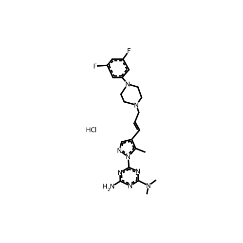 Cc1c(C=CCN2CCN(c3cc(F)cc(F)c3)CC2)cnn1-c1nc(N)nc(N(C)C)n1.Cl